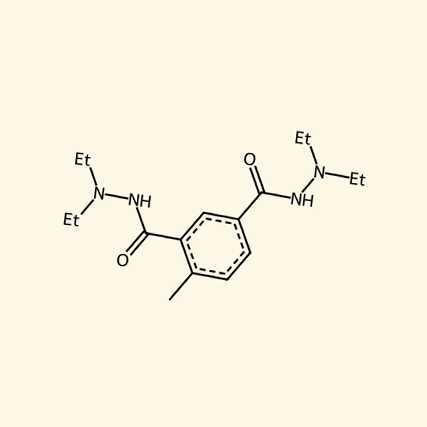 CCN(CC)NC(=O)c1ccc(C)c(C(=O)NN(CC)CC)c1